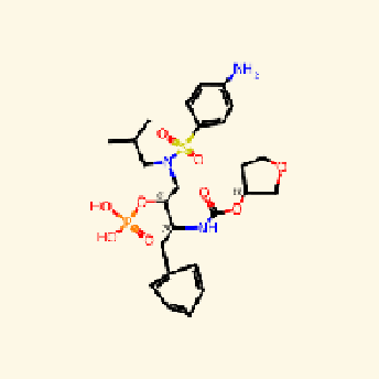 CC(C)CN(C[C@H](OP(=O)(O)O)[C@H](Cc1ccccc1)NC(=O)O[C@H]1CCOC1)S(=O)(=O)c1ccc(N)cc1